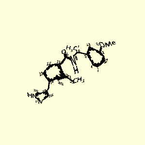 COc1cccc([C@@H](C)NC(=O)c2ccc(-c3cn[nH]c3)cc2C)c1